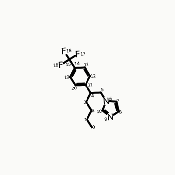 CCCCC(Cn1ccnc1)c1ccc(C(F)(F)F)cc1